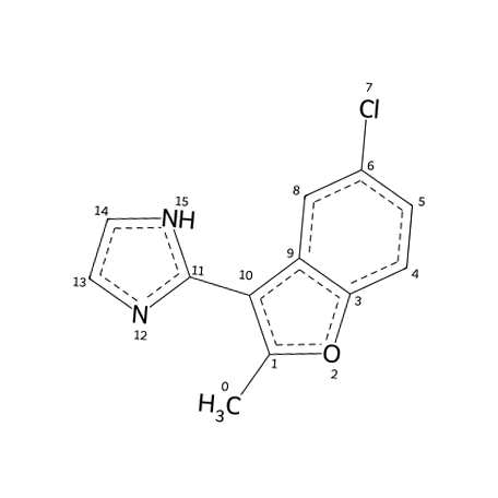 Cc1oc2ccc(Cl)cc2c1-c1ncc[nH]1